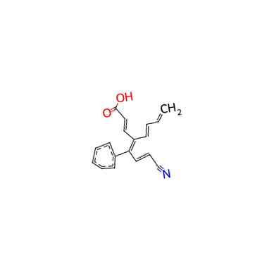 C=CC=CC(C=CC(=O)O)=C(C=CC#N)c1ccccc1